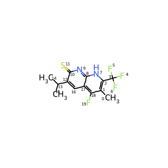 Cc1c(C(F)(F)F)[nH]c2nc(=S)c(C(C)C)cc-2c1F